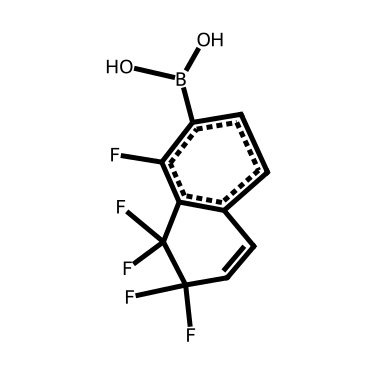 OB(O)c1ccc2c(c1F)C(F)(F)C(F)(F)C=C2